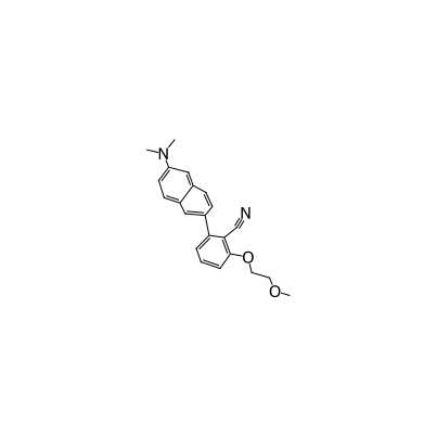 COCCOc1cccc(-c2ccc3cc(N(C)C)ccc3c2)c1C#N